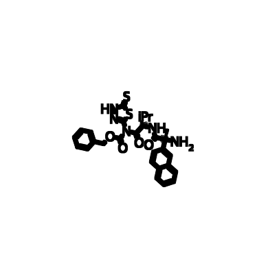 CC(C)[C@H](NC(=O)[C@](C)(N)c1ccc2ccccc2c1)C(=O)N(C(=O)OCc1ccccc1)c1n[nH]c(=S)s1